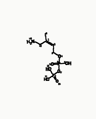 C/C(=C/COP(=O)(O)OP(=O)(O)O)CN